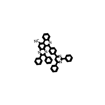 N#Cc1cc2nc(-c3ccccc3)c(-c3ccccc3)nc2c2c(-c3ccc(-c4cc(-c5ccccc5)nc(-c5ccccc5)n4)cc3)nc3ccccc3c12